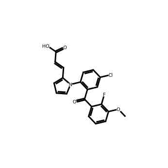 COc1cccc(C(=O)c2cc(Cl)ccc2-n2cccc2C=CC(=O)O)c1F